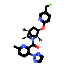 Cc1ccc(-n2nccn2)c(C(=O)N2[C@H](C)[C@H]3C[C@@H](Oc4ccc(CF)cn4)[C@@H]2C3)n1